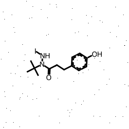 CC(C)(C)N(NI)C(=O)CCc1ccc(O)cc1